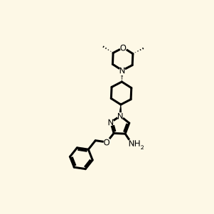 C[C@@H]1CN([C@H]2CC[C@H](n3cc(N)c(OCc4ccccc4)n3)CC2)C[C@H](C)O1